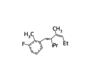 CC/C=C(C)\C(=C\c1cccc(F)c1C)C(C)C